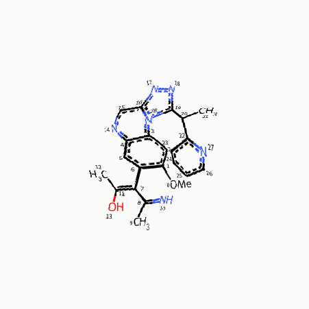 COc1cc2c(cc1/C(C(C)=N)=C(\C)O)ncc1nnc(C(C)c3ccccn3)n12